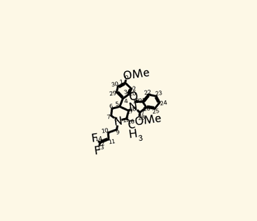 COc1ccc(C2CCN(CCC=C(F)F)C(C)C2N2C(=O)c3ccccc3C2OC)cc1